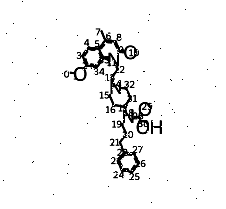 COc1ccc2c(C)cc(=O)n(CCN3CCC(N(CCCc4ccccc4)C(=O)O)CC3)c2c1